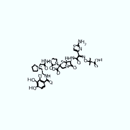 CC(C)(O/N=C(\C(=O)N[C@@H]1C(=O)N2C[C@@](C(=O)[O-])(N3CCN(NC(=O)C[N+]4(CCNC(=O)c5ccc(O)c(O)c5Cl)CCCC4)C3=O)S[C@H]12)c1csc(N)n1)C(=O)O